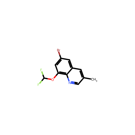 Cc1cnc2c(OC(F)F)cc(Br)cc2c1